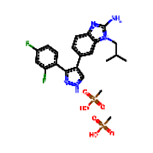 CC(C)Cn1c(N)nc2ccc(-c3c[nH]nc3-c3ccc(F)cc3F)cc21.CS(=O)(=O)O.CS(=O)(=O)O